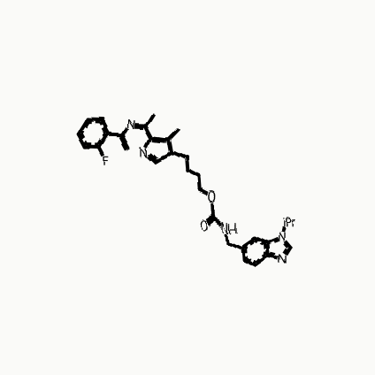 C=C(/N=C(/C)C1=C(C)C(CCCCOC(=O)NCc2ccc3ncn(C(C)C)c3c2)C=N1)c1ccccc1F